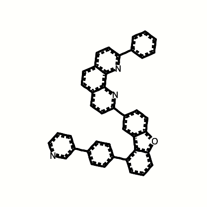 c1ccc(-c2ccc3ccc4ccc(-c5ccc6oc7cccc(-c8ccc(-c9cccnc9)cc8)c7c6c5)nc4c3n2)cc1